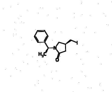 C[C@@H](c1ccccc1)N1C[C@@H](CI)CC1=O